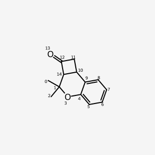 CC1(C)Oc2ccccc2C2CC(=O)C21